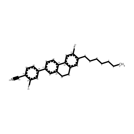 CCCCCCCc1cc2c(cc1F)-c1ccc(-c3ccc(C#N)c(F)c3)cc1CC2